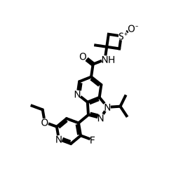 CCOc1cc(-c2nn(C(C)C)c3cc(C(=O)NC4(C)C[S+]([O-])C4)cnc23)c(F)cn1